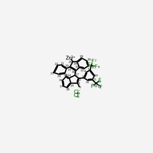 CC1=C(c2cc(C(F)(F)F)cc(C(F)(F)F)c2)C(C2=C(c3ccccc3)[CH]([Zr+2])c3ccccc32)c2ccccc21.[Cl-].[Cl-]